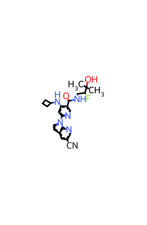 CC(C)(O)C(F)CNC(=O)c1cnc(-n2ccc3cc(C#N)cnc32)cc1NC1CCC1